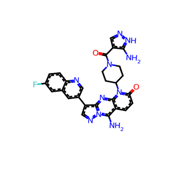 Nc1[nH]ncc1C(=O)N1CCC(n2c(=O)ccc3c(N)n4ncc(-c5cnc6ccc(F)cc6c5)c4nc32)CC1